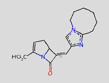 O=C(O)C1=CCC2/C(=C\c3cn4c(n3)CCCCCC4)C(=O)N12